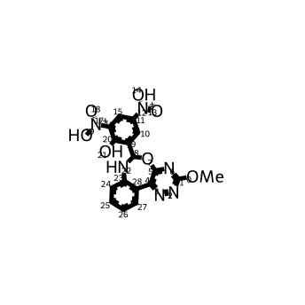 COc1nnc2c(n1)OC(c1cc([N+](=O)O)cc([N+](=O)O)c1O)Nc1ccccc1-2